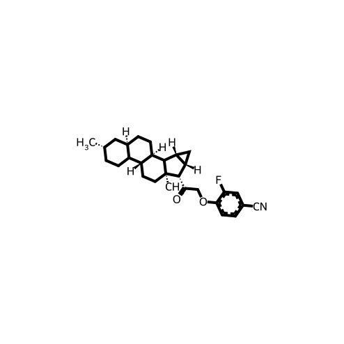 C[C@H]1CCC2[C@H](CC[C@H]3C4[C@@H]5C[C@@H]5[C@H](C(=O)COc5ccc(C#N)cc5F)[C@@]4(C)CC[C@H]23)C1